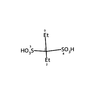 CCC(CC)(S(=O)(=O)O)S(=O)(=O)O